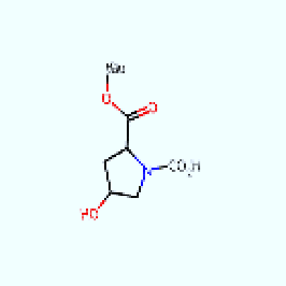 CC(C)(C)OC(=O)C1CC(O)CN1C(=O)O